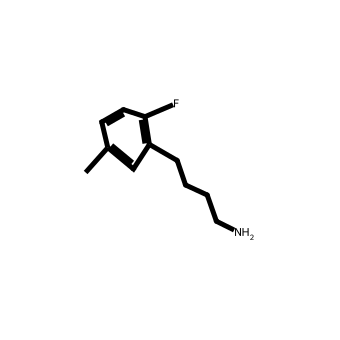 Cc1ccc(F)c(CCCCN)c1